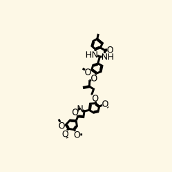 C=C(CCOc1cc(-c2cc(-c3cc(OC)c(OC)c(OC)c3)on2)ccc1OC)COc1ccc(C2NC(=O)c3cc(C)ccc3N2)cc1OC